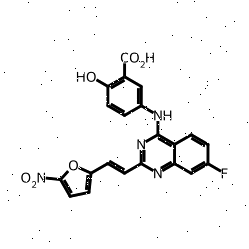 O=C(O)c1cc(Nc2nc(C=Cc3ccc([N+](=O)[O-])o3)nc3cc(F)ccc23)ccc1O